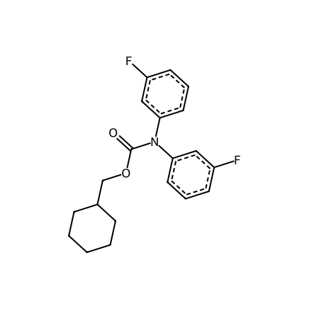 O=C(OCC1CCCCC1)N(c1cccc(F)c1)c1cccc(F)c1